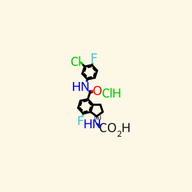 Cl.O=C(O)N[C@H]1CCc2c(C(=O)Nc3ccc(F)c(Cl)c3)ccc(F)c21